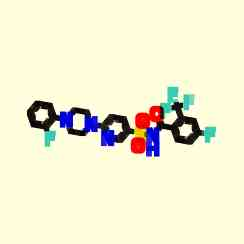 O=C(NS(=O)(=O)c1ccc(N2CCN(c3ccccc3F)CC2)nc1)c1ccc(F)cc1C(F)(F)F